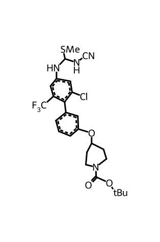 CSC(NC#N)Nc1cc(Cl)c(-c2cccc(OC3CCN(C(=O)OC(C)(C)C)CC3)c2)c(C(F)(F)F)c1